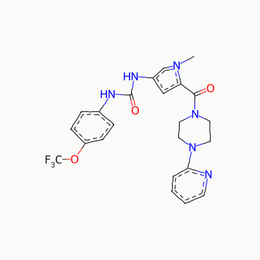 Cn1cc(NC(=O)Nc2ccc(OC(F)(F)F)cc2)cc1C(=O)N1CCN(c2ccccn2)CC1